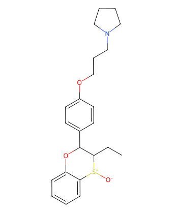 CCC1C(c2ccc(OCCCN3CCCC3)cc2)Oc2ccccc2[S+]1[O-]